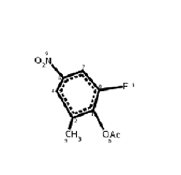 CC(=O)Oc1c(C)cc([N+](=O)[O-])cc1F